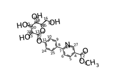 COC(=O)c1ccc(-c2ccc(O[C@H]3O[C@H](CO)[C@@H](O)[C@H](O)[C@@H]3O)cc2)nc1